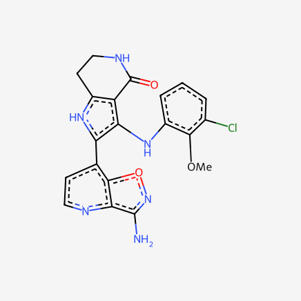 COc1c(Cl)cccc1Nc1c(-c2ccnc3c(N)noc23)[nH]c2c1C(=O)NCC2